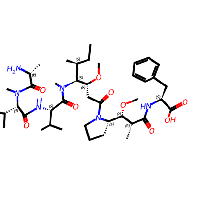 CC[C@H](C)[C@@H]([C@@H](CC(=O)N1CCC[C@H]1[C@H](OC)[C@@H](C)C(=O)N[C@@H](Cc1ccccc1)C(=O)O)OC)N(C)C(=O)[C@@H](NC(=O)[C@H](C(C)C)N(C)C(=O)[C@@H](C)N)C(C)C